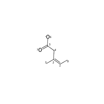 CC=C(C)CC([O])=O